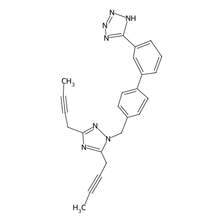 CC#CCc1nc(CC#CC)n(Cc2ccc(-c3cccc(-c4nnn[nH]4)c3)cc2)n1